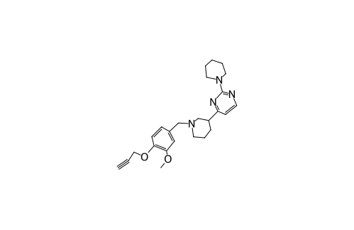 C#CCOc1ccc(CN2CCCC(c3ccnc(N4CCCCC4)n3)C2)cc1OC